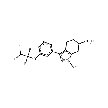 CC(C)n1nc(-c2cncc(OC(F)(F)C(F)F)c2)c2c1CC(C(=O)O)CC2